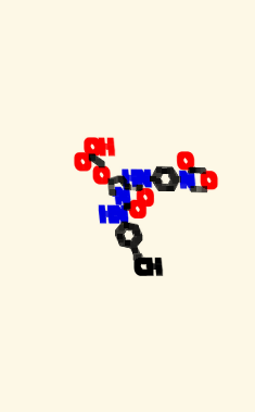 C#Cc1ccc(NC(=O)N2C[C@H](OCC(=O)O)C[C@@H]2C(=O)Nc2ccc(N3CCOCC3=O)cc2)cc1